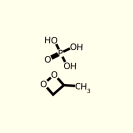 CC1COO1.O=P(O)(O)O